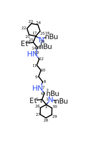 CCCCN(CCCC)C1(C(CC)CNCCCCCNCC(CC)C2(N(CCCC)CCCC)CCCCC2)CCCCC1